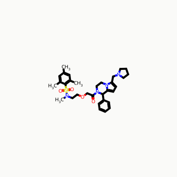 Cc1cc(C)c(S(=O)(=O)N(C)CCOCC(=O)N2CCn3c(CN4CCCC4)ccc3C2c2ccccc2)c(C)c1